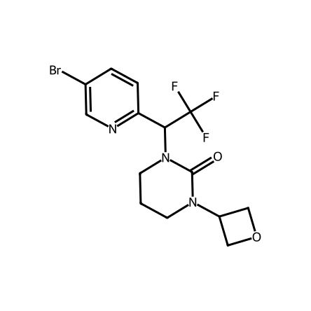 O=C1N(C2COC2)CCCN1C(c1ccc(Br)cn1)C(F)(F)F